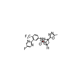 Cc1nnc([C@@]23C[C@H](C)C[C@@H](C2)N3C(=O)Nc2ccc(C(F)(F)F)c(-c3ncc(F)cn3)c2)o1